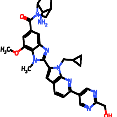 COc1cc(C(=O)N2CC3CCC2C3N)cc2nc(-c3cc4ccc(-c5cnc(CO)nc5)nc4n3CC3CC3)n(C)c12